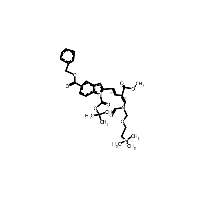 COC(=O)C(/C=C/c1cc2cc(C(=O)OCc3ccccc3)ccc2n1C(=O)OC(C)(C)C)=C/N(C=O)COCC[Si](C)(C)C